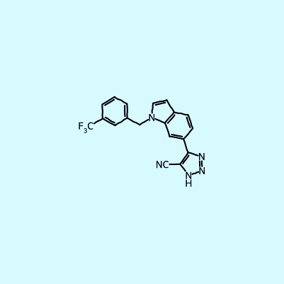 N#Cc1[nH]nnc1-c1ccc2ccn(Cc3cccc(C(F)(F)F)c3)c2c1